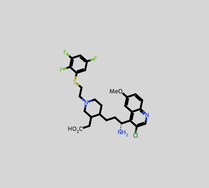 COc1ccc2ncc(Cl)c([C@H](N)CCC3CCN(CCSc4cc(F)cc(F)c4F)CC3CC(=O)O)c2c1